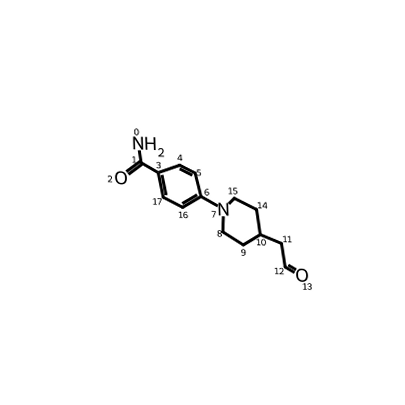 NC(=O)c1ccc(N2CCC(CC=O)CC2)cc1